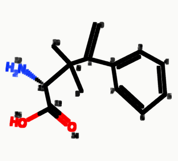 C=C(c1ccccc1)C(C)(C)[C@@H](N)C(=O)O